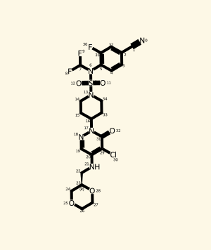 N#Cc1ccc(N(C(F)F)S(=O)(=O)N2CCC(n3ncc(NC[C@@H]4COCCO4)c(Cl)c3=O)CC2)c(F)c1